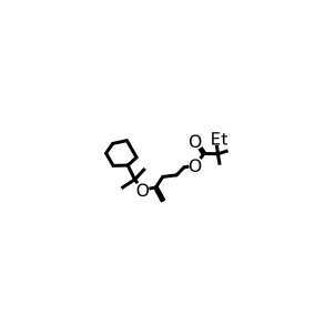 C=C(CCCOC(=O)C(C)(C)CC)OC(C)(C)C1CCCCC1